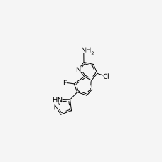 Nc1cc(Cl)c2ccc(-c3ccn[nH]3)c(F)c2n1